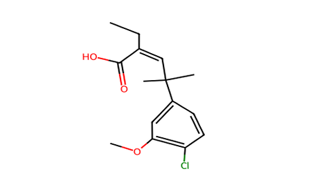 CCC(=CC(C)(C)c1ccc(Cl)c(OC)c1)C(=O)O